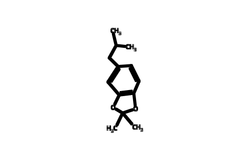 CC(C)Cc1ccc2c(c1)OC(C)(C)O2